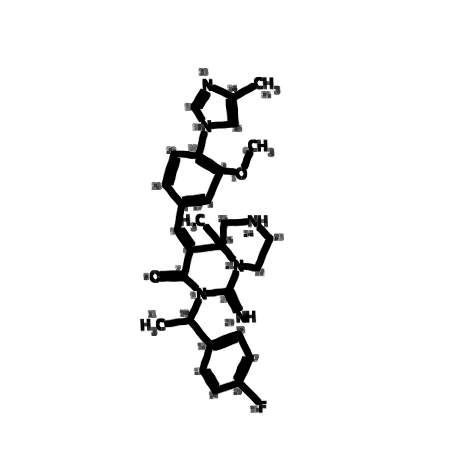 COc1cc(/C=C2/C(=O)N(C(C)c3ccc(F)cc3)C(=N)N3CCNCC23C)ccc1-n1cnc(C)c1